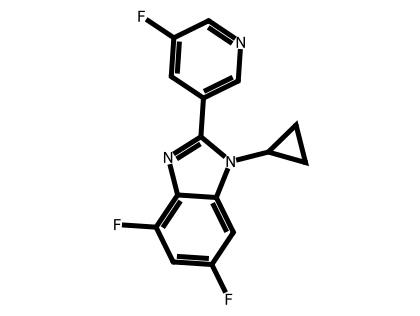 Fc1cncc(-c2nc3c(F)cc(F)cc3n2C2CC2)c1